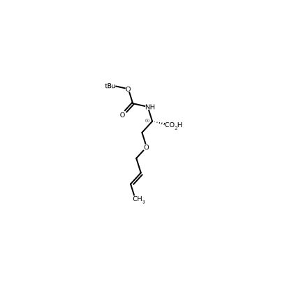 CC=CCOC[C@H](NC(=O)OC(C)(C)C)C(=O)O